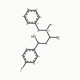 CCC(CC(O)c1ccc(F)cc1)N(C)Cc1ccccc1